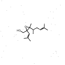 CC(C)=CCC(C)C1(C)OC1(C=C(C)C)CO